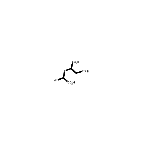 CCCC(SC(CC(=O)O)C(=O)O)C(=O)O